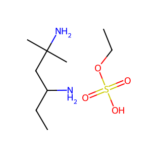 CCC(N)CC(C)(C)N.CCOS(=O)(=O)O